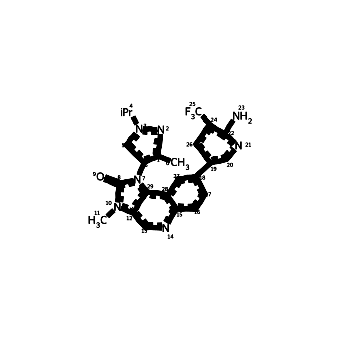 Cc1nn(C(C)C)cc1-n1c(=O)n(C)c2cnc3ccc(-c4cnc(N)c(C(F)(F)F)c4)cc3c21